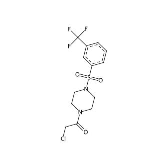 O=C(CCl)N1CCN(S(=O)(=O)c2cccc(C(F)(F)F)c2)CC1